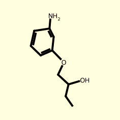 CCC(O)COc1cccc(N)c1